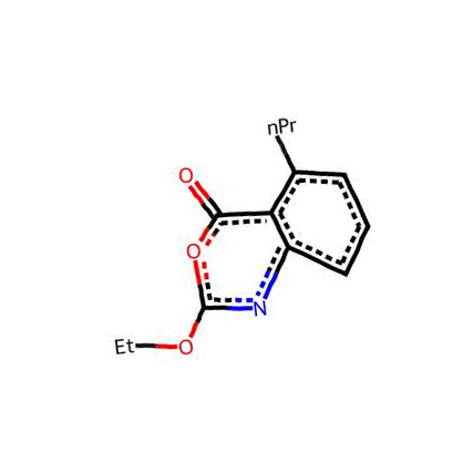 CCCc1cccc2nc(OCC)oc(=O)c12